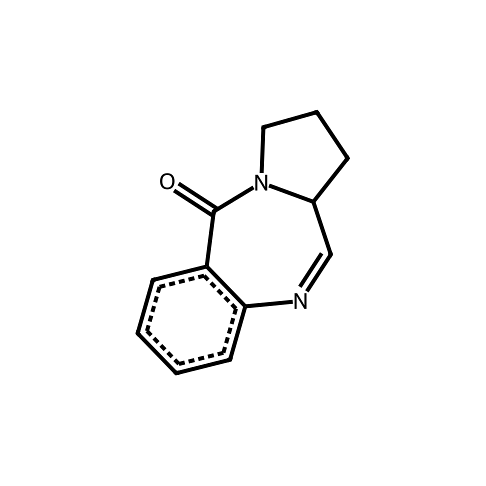 O=C1c2ccccc2N=CC2CCCN12